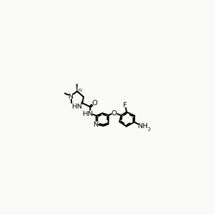 C[C@@H](CC(=N)C(=O)Nc1cc(Oc2ccc(N)cc2F)ccn1)N(C)C